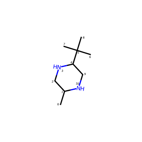 CC1CNC(C(C)(C)C)CN1